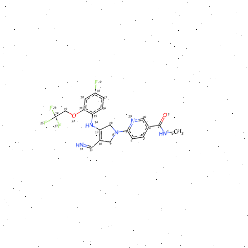 CNC(=O)c1ccc(N2CC(C=N)=C(Nc3ccc(F)cc3OCC(F)(F)F)C2)nc1